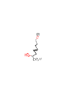 CCOCCCC=CCC(O)C(=O)O